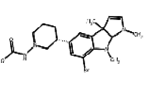 CN1C=CC2(C)c3cc([C@H]4CCCN(NC(=O)O)C4)cc(Br)c3N(C)C12